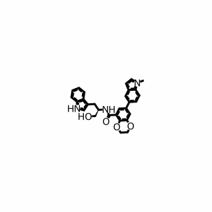 Cn1ccc2cc(-c3cc4c(c(C(=O)N[C@@H](CO)Cc5c[nH]c6ccccc56)c3)OCCO4)ccc21